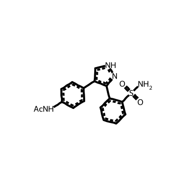 CC(=O)Nc1ccc(-c2c[nH]nc2-c2ccccc2S(N)(=O)=O)cc1